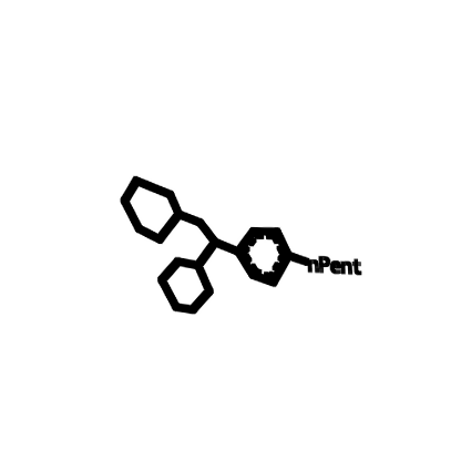 CCCCCc1ccc(C(CC2CCCCC2)C2CCCCC2)cc1